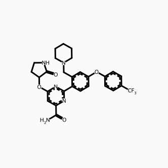 NC(=O)c1cc(OC2CCNC2=O)nc(-c2ccc(Oc3ccc(C(F)(F)F)cc3)cc2CN2CCCCC2)n1